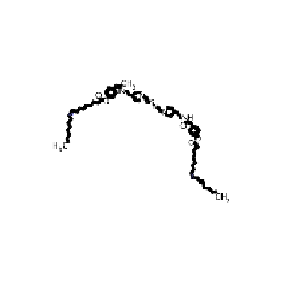 C=C(Cc1ccc(OC(=O)CCCCCCC/C=C\CCCCCCCC)cc1)NCCC1CCN(CCSSCCN2CCC(CCNC(=O)Cc3ccc(OC(=O)CCCCCCC/C=C\CCCCCCCC)cc3)CC2)CC1